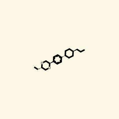 CCC[C@H]1CC[C@H](c2ccc([C@@H]3CO[C@@H](CC)CO3)cc2)CC1